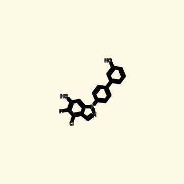 Oc1cccc(-c2ccc(-n3ncc4c(Cl)c(F)c(O)cc43)cc2)c1